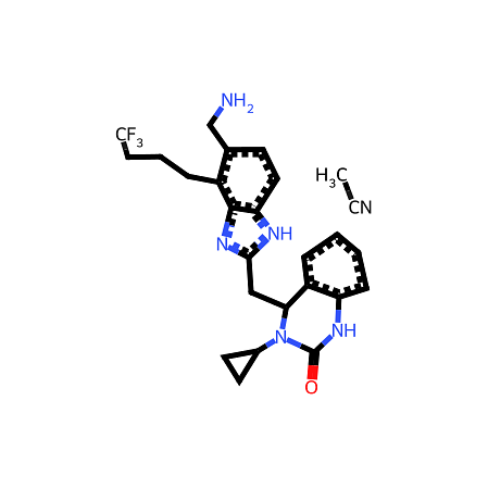 CC#N.NCc1ccc2[nH]c(CC3c4ccccc4NC(=O)N3C3CC3)nc2c1CCCC(F)(F)F